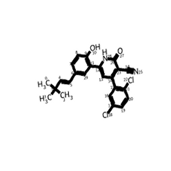 CC(C)(C)/C=C/c1ccc(O)c(-c2cc(-c3cc(Cl)ccc3Cl)c(C#N)c(=O)[nH]2)c1